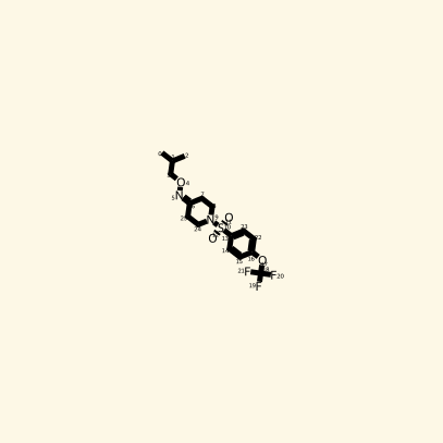 CC(C)CON=C1CCN(S(=O)(=O)c2ccc(OC(F)(F)F)cc2)CC1